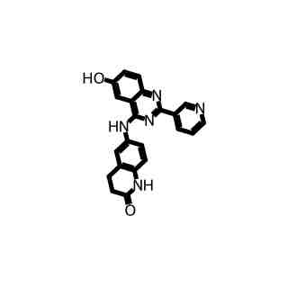 O=C1CCc2cc(Nc3nc(-c4cccnc4)nc4ccc(O)cc34)ccc2N1